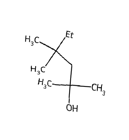 CCC(C)(C)CC(C)(C)O